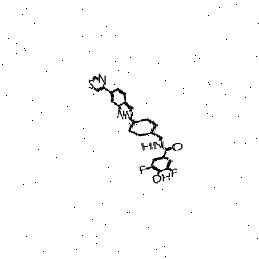 O=C(NCC1CCC(n2cc3ccc(-c4cscn4)cc3n2)CC1)c1cc(F)c(O)c(F)c1